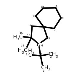 CC(C)(C)N1CC2(CCCCC2)CC1(C)C